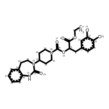 CCOC(=O)C(Cc1ccc(Cl)c(Cl)c1)OC(=O)N1CCC(N2CCc3ccccc3NC2=O)CC1